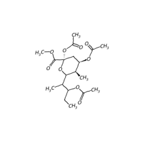 CCC(OC(C)=O)C(C)C1O[C@@](OC(C)=O)(C(=O)OC)C[C@@H](OC(C)=O)[C@H]1C